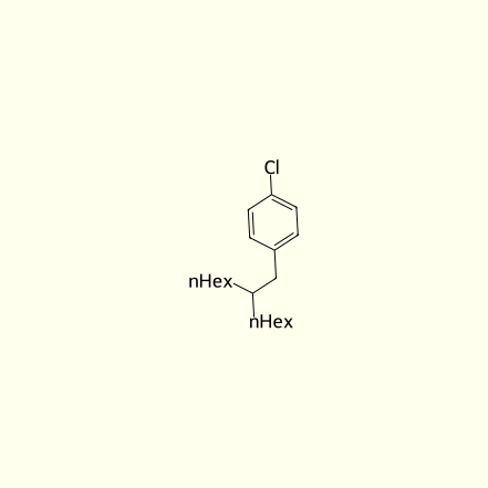 CCCCCCC(CCCCCC)Cc1ccc(Cl)cc1